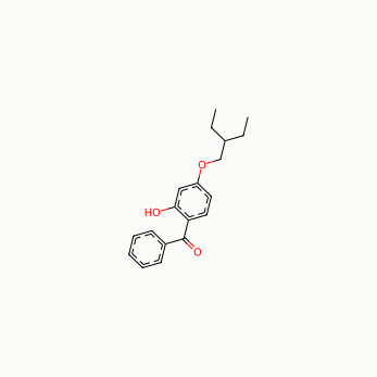 CCC(CC)COc1ccc(C(=O)c2ccccc2)c(O)c1